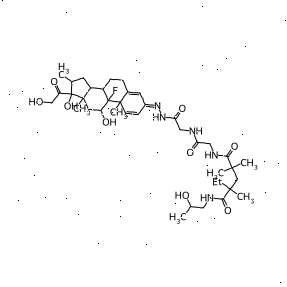 CCC(C)(CC(C)(C)C(=O)NCC(=O)NCC(=O)NN=C1C=CC2(C)C(=C1)CCC1C3CC(C)C(O)(C(=O)CO)C3(C)CC(O)C12F)C(=O)NCC(C)O